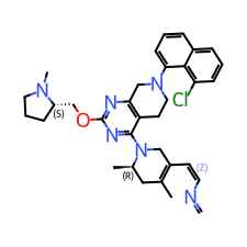 C=N/C=C\C1=C(C)C[C@@H](C)N(c2nc(OC[C@@H]3CCCN3C)nc3c2CCN(c2cccc4cccc(Cl)c24)C3)C1